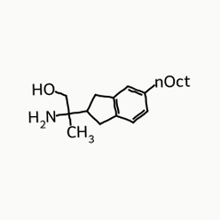 CCCCCCCCc1ccc2c(c1)CC(C(C)(N)CO)C2